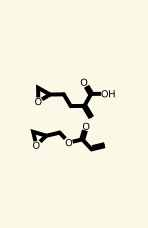 C=C(CCC1CO1)C(=O)O.C=CC(=O)OCC1CO1